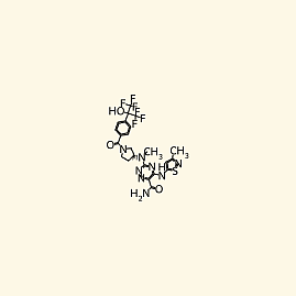 Cc1cc(Nc2nc(N(C)[C@@H]3CCN(C(=O)c4ccc(C(O)(C(F)(F)F)C(F)(F)F)cc4)C3)nnc2C(N)=O)sn1